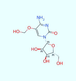 Nc1nc(=O)n([C@@H]2O[C@H](CO)[C@@H](O)[C@H]2O)cc1OCO